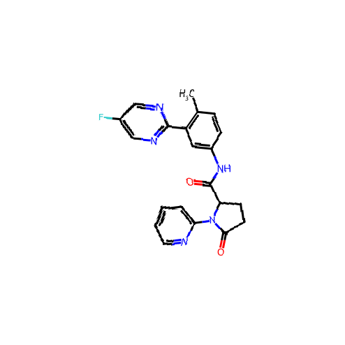 Cc1ccc(NC(=O)C2CCC(=O)N2c2ccccn2)cc1-c1ncc(F)cn1